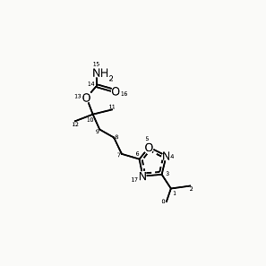 CC(C)c1noc(CCCC(C)(C)OC(N)=O)n1